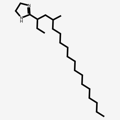 CCCCCCCCCCCCCCC(C)CC(CC)C1=NCCN1